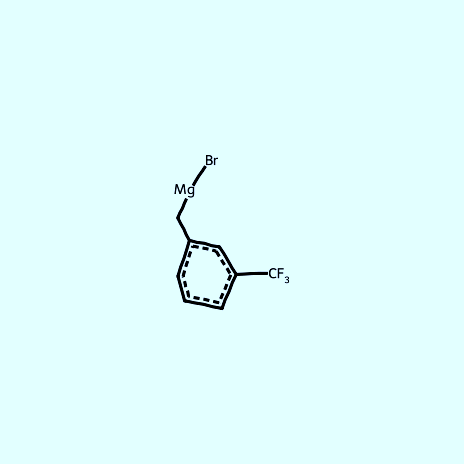 FC(F)(F)c1cccc([CH2][Mg][Br])c1